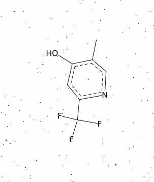 Cc1cnc(C(F)(F)F)cc1O